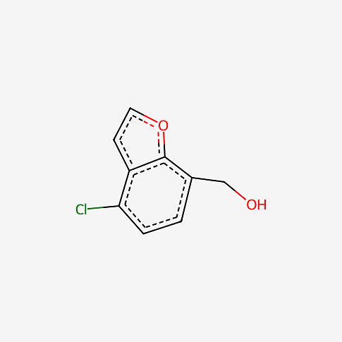 OCc1ccc(Cl)c2ccoc12